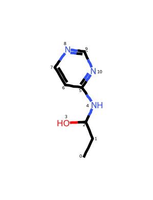 CCC(O)Nc1ccn[c]n1